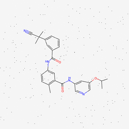 Cc1ccc(NC(=O)c2cccc(C(C)(C)C#N)c2)cc1C(=O)Nc1cncc(OC(C)C)c1